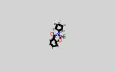 O=C1c2ccccc2OP(F)N1c1ccccc1